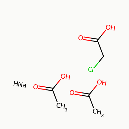 CC(=O)O.CC(=O)O.O=C(O)CCl.[NaH]